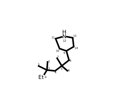 CCC(C)(C)CC(C)(C)CC1CCNCC1